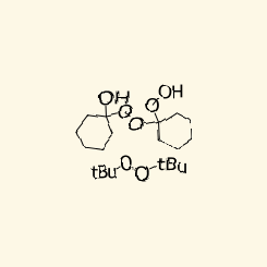 CC(C)(C)OOC(C)(C)C.OOC1(OOC2(O)CCCCC2)CCCCC1